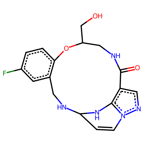 O=C1NCC(CO)Oc2ccc(F)cc2CNC2C=Cn3ncc1c3N2